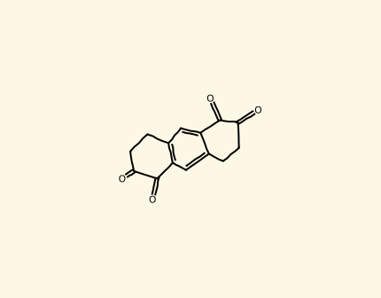 O=C1CCc2cc3c(cc2C1=O)CCC(=O)C3=O